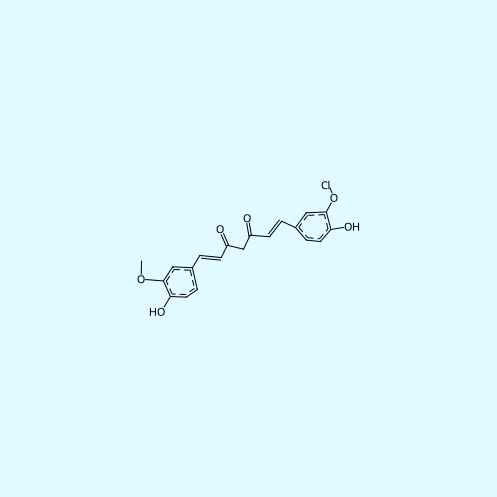 COc1cc(/C=C/C(=O)CC(=O)/C=C/c2ccc(O)c(OCl)c2)ccc1O